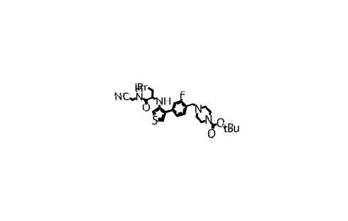 CC(C)CC(Nc1cscc1-c1ccc(CN2CCN(C(=O)OC(C)(C)C)CC2)c(F)c1)C(=O)NCC#N